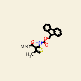 COC(=O)c1c(C)csc1NC(=O)OCC1c2ccccc2-c2ccccc21